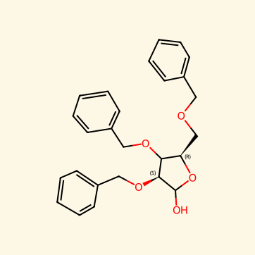 OC1O[C@H](COCc2ccccc2)C(OCc2ccccc2)[C@@H]1OCc1ccccc1